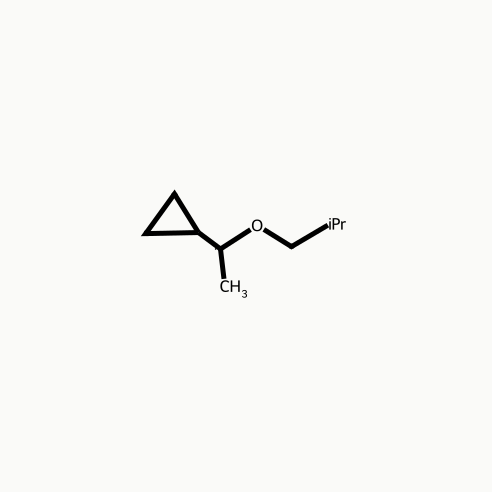 C[C](OCC(C)C)C1CC1